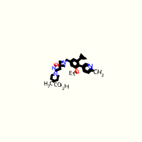 CCOc1cc(CN2CC3(CC(N4CCC(C)(C(=O)O)CC4)=NO3)C2)cc(C2CC2)c1-c1ccc(C)nc1